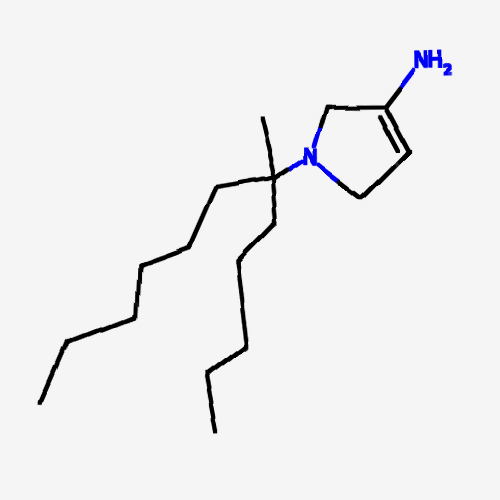 CCCCCCC(C)(CCCCC)N1CC=C(N)C1